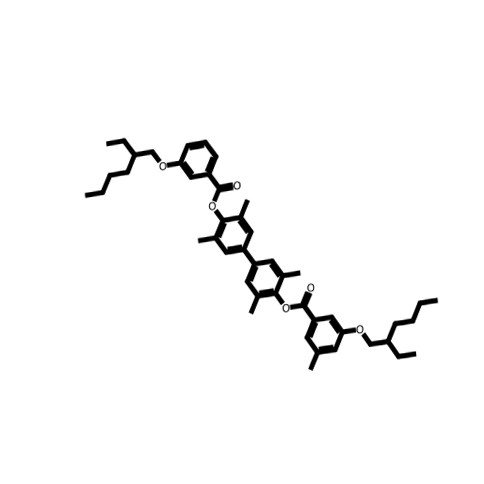 CCCCC(CC)COc1cccc(C(=O)Oc2c(C)cc(-c3cc(C)c(OC(=O)c4cc(C)cc(OCC(CC)CCCC)c4)c(C)c3)cc2C)c1